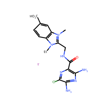 CCn1c(CNC(=O)c2nc(Cl)c(N)nc2N)[n+](C)c2cc(C(=O)O)ccc21.[I-]